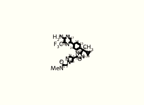 CNC(=O)Cn1cc(-c2nc(C(C)(c3ccc(-c4cnc(N)c(C(F)(F)F)n4)cc3)C3CC3)no2)cn1